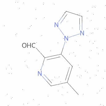 Cc1cnc(C=O)c(-n2nccn2)c1